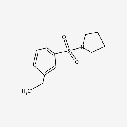 CCc1cccc(S(=O)(=O)N2CCCC2)c1